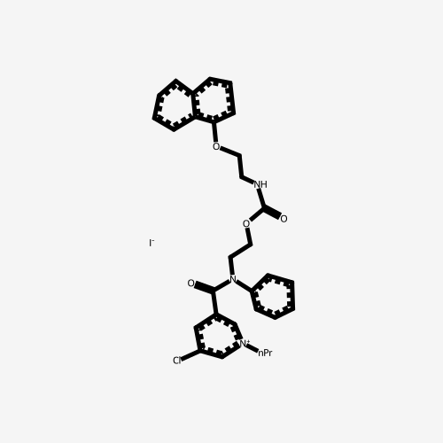 CCC[n+]1cc(Cl)cc(C(=O)N(CCOC(=O)NCCOc2cccc3ccccc23)c2ccccc2)c1.[I-]